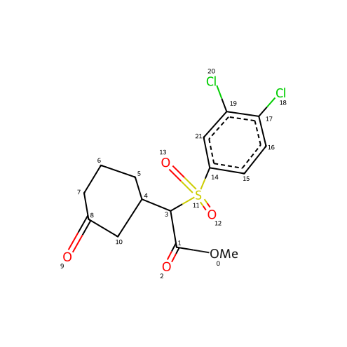 COC(=O)C(C1CCCC(=O)C1)S(=O)(=O)c1ccc(Cl)c(Cl)c1